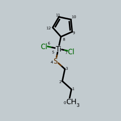 CCCC[S][Ti]([Cl])([Cl])[CH]1C=CC=C1